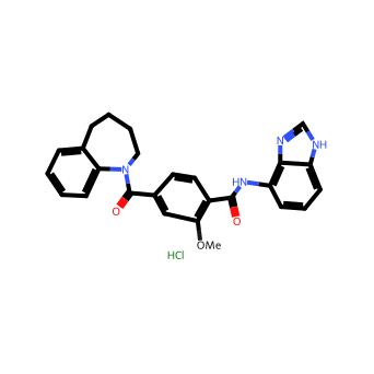 COc1cc(C(=O)N2CCCCc3ccccc32)ccc1C(=O)Nc1cccc2[nH]cnc12.Cl